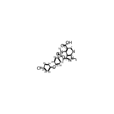 Cc1nn(C)c2ncc(C(=O)O)c(N(C)S(=O)(=O)c3ccc(Oc4ccc(Cl)cc4)cc3)c12